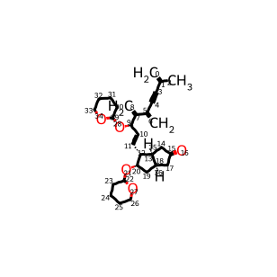 C=C(C)C#CC(=C)C(=C)[C@@H](C=C[C@@H]1[C@H]2CC(=O)C[C@H]2C[C@H]1OC1CCCCO1)OC1CCCCO1